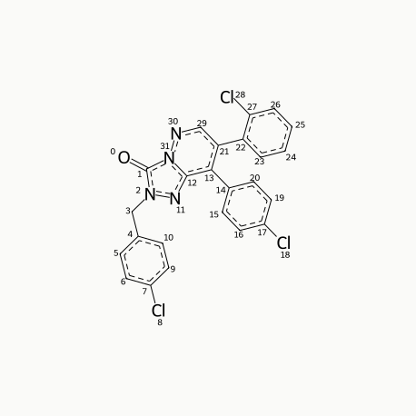 O=c1n(Cc2ccc(Cl)cc2)nc2c(-c3ccc(Cl)cc3)c(-c3ccccc3Cl)cnn12